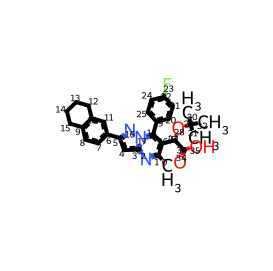 Cc1nc2cc(-c3ccc4c(c3)CCCC4)nn2c(-c2ccc(F)cc2)c1[C@H](OC(C)(C)C)C(=O)O